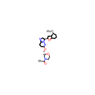 COc1cccc2oc(-c3cnc4ccc(OC[C@H]5CN(C(=O)C(C)(C)C)CCO5)nn34)cc12